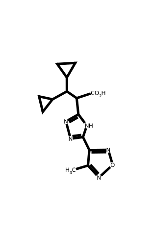 Cc1nonc1-c1nnc(C(C(=O)O)C(C2CC2)C2CC2)[nH]1